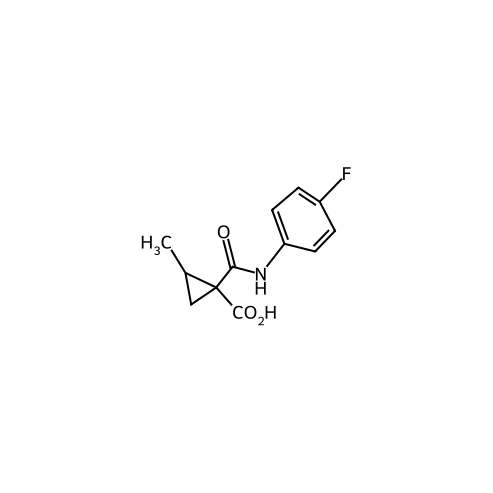 CC1CC1(C(=O)O)C(=O)Nc1ccc(F)cc1